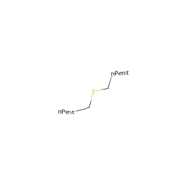 CCCCC[CH]SCCCCCC